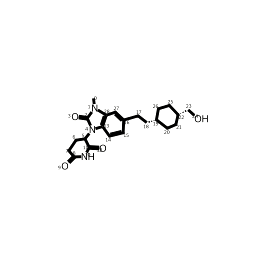 Cn1c(=O)n(C2CCC(=O)NC2=O)c2ccc(CC[C@H]3CC[C@@H](CO)CC3)cc21